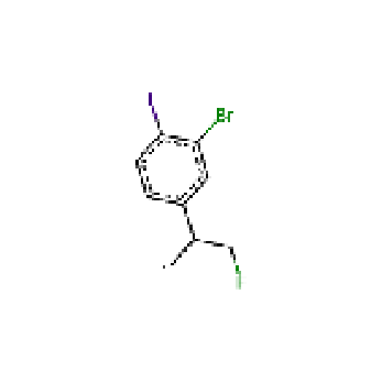 [CH2]C(CF)c1ccc(I)c(Br)c1